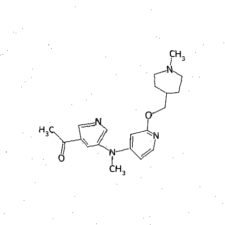 CC(=O)c1cncc(N(C)c2ccnc(OCC3CCN(C)CC3)c2)c1